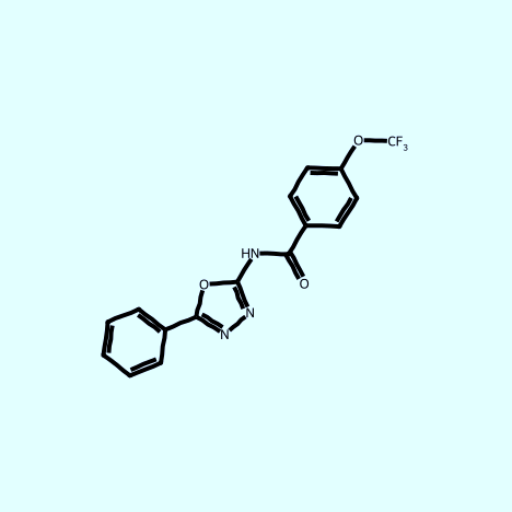 O=C(Nc1nnc(-c2ccccc2)o1)c1ccc(OC(F)(F)F)cc1